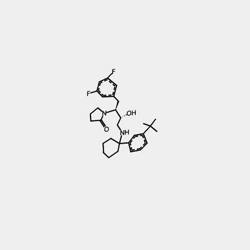 CC(C)(C)c1cccc(C2(NC[C@@H](O)[C@H](Cc3cc(F)cc(F)c3)N3CCCC3=O)CCCCC2)c1